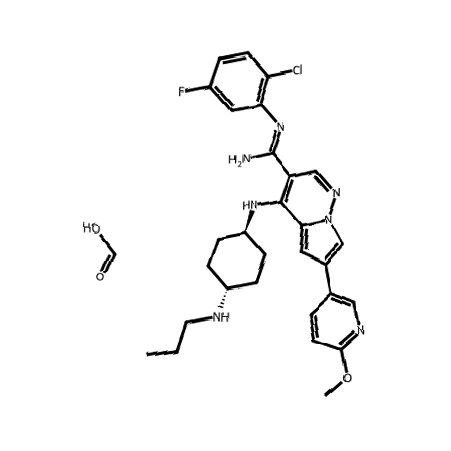 CCCN[C@H]1CC[C@H](Nc2c(C(N)=Nc3cc(F)ccc3Cl)cnn3cc(-c4ccc(OC)nc4)cc23)CC1.O=CO